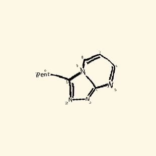 CCCC(C)c1nnc2ncccn12